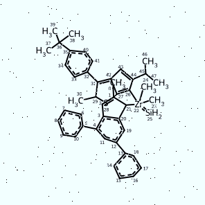 CC1=Cc2c(-c3ccccc3)cc(-c3ccccc3)cc2[CH]1[Zr]([CH3])([CH3])(=[SiH2])[C]1=C2SC(C)C(c3ccc(C(C)(C)C)cc3)=C2C=C1C(C)C